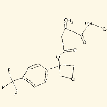 C=C(CC(=O)OC1(c2ccc(C(F)(F)F)cc2)COC1)C(=O)NC